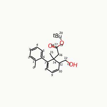 Cc1ccccc1C1=CC=CC(CO)C1(C)CC(=O)OC(C)(C)C